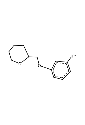 CC(C)c1cccc(OCC2CCCCO2)c1